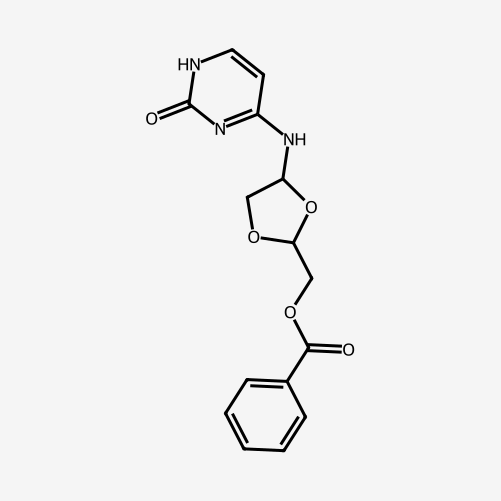 O=C(OCC1OCC(Nc2cc[nH]c(=O)n2)O1)c1ccccc1